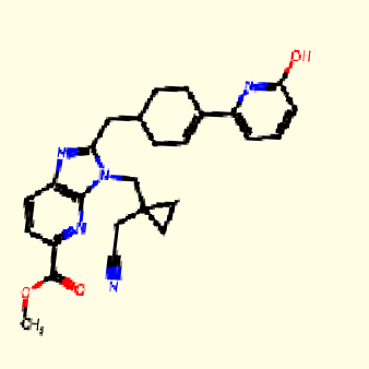 COC(=O)c1ccc2nc(CC3CC=C(c4cccc(O)n4)CC3)n(CC3(CC#N)CC3)c2n1